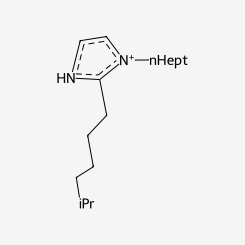 CCCCCCC[n+]1cc[nH]c1CCCCC(C)C